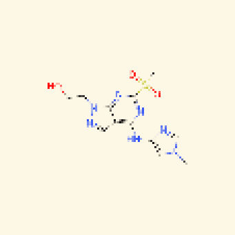 Cn1cnc(Nc2nc(S(C)(=O)=O)nc3c2cnn3CCO)c1